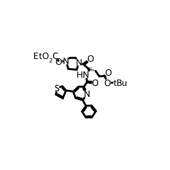 CCOC(=O)ON1CCN(C(=O)[C@H](CCC(=O)OC(C)(C)C)NC(=O)c2cc(-c3ccsc3)cc(-c3ccccc3)n2)CC1